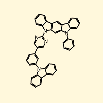 c1ccc(-n2c3ccccc3c3cc4c5ccccc5n(-c5ncc(-c6cccc(-n7c8ccccc8c8ccccc87)c6)cn5)c4cc32)cc1